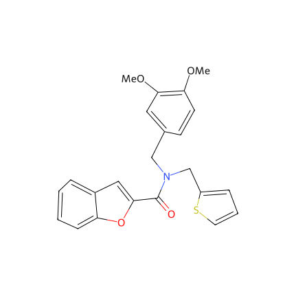 COc1ccc(CN(Cc2cccs2)C(=O)c2cc3ccccc3o2)cc1OC